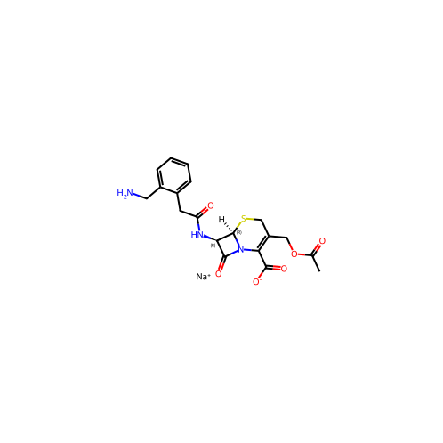 CC(=O)OCC1=C(C(=O)[O-])N2C(=O)[C@@H](NC(=O)Cc3ccccc3CN)[C@H]2SC1.[Na+]